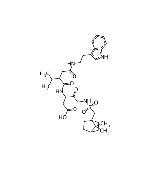 CC(C)C(CC(=O)NCCc1c[nH]c2ccccc12)C(=O)NC(CC(=O)O)C(=O)CNS(=O)(=O)CC12CCC(CC1)C2(C)C